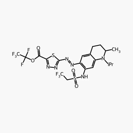 CC(C)N1c2cc(NS(=O)(=O)CC(F)(F)F)c(N=Nc3nnc(C(=O)OC(F)(F)C(F)(F)F)s3)cc2CCC1C